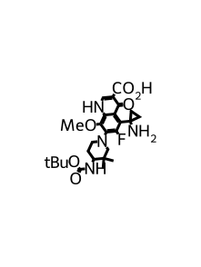 COc1c(N2CCC(NC(=O)OC(C)(C)C)C(C)(C)C2)c(F)c(C2(N)CC2)c2c(=O)c(C(=O)O)c[nH]c12